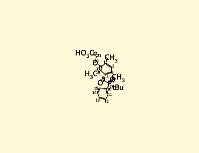 Cc1cc(C)c(C(=O)P(=O)(c2ccccc2)C(C)(C)C)c(C)c1OCC(=O)O